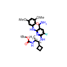 COc1cc(Nc2nc(N[C@H](C3CCC3)[C@H](C)NC(=O)OC(C)(C)C)c(F)cc2C(N)=O)cc(OC)c1